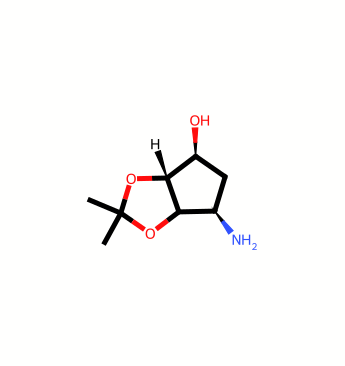 CC1(C)OC2[C@H](N)C[C@H](O)[C@H]2O1